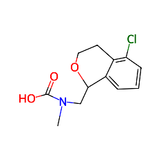 CN(CC1OCCc2c(Cl)cccc21)C(=O)O